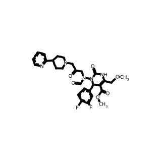 COCC1=C(C(=O)OC)C(c2ccc(F)c(F)c2)N(N(C=O)CC(=O)CN2CCC(c3ccccn3)CC2)C(=O)N1